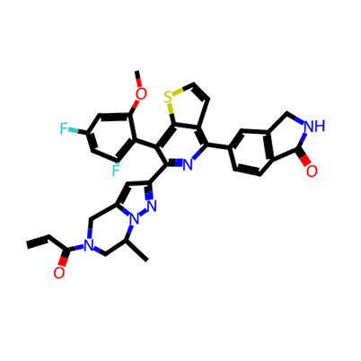 C=CC(=O)N1Cc2cc(-c3nc(-c4ccc5c(c4)CNC5=O)c4ccsc4c3-c3c(F)cc(F)cc3OC)nn2C(C)C1